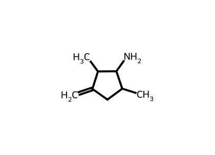 C=C1CC(C)C(N)C1C